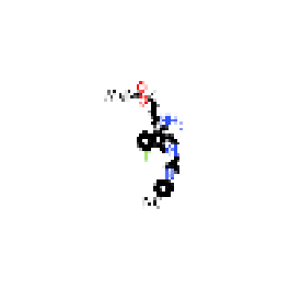 CNC(=O)O[C@H](C)CCCC[C@@](CN)(c1cccc(F)c1)C1CCN(CC2CN(c3ccc(C#N)cc3)C2)CC1